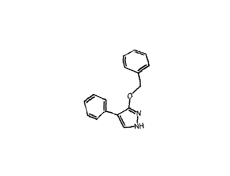 c1ccc(COc2n[nH]cc2-c2ccccc2)cc1